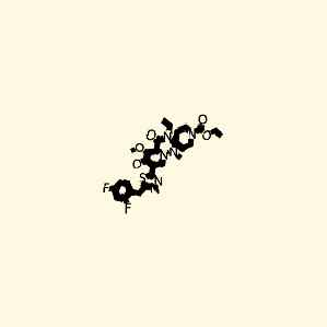 CCOC(=O)N1CCC2(CC1)N(CC)C(=O)c1c(OC)c(=O)c(-c3nnc(Cc4ccc(F)cc4F)s3)cn1N2C